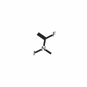 C=C(F)N(C)I